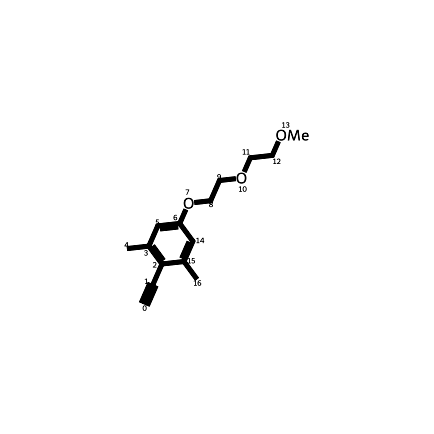 C#Cc1c(C)cc(OCCOCCOC)cc1C